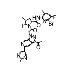 CC(=O)c1nn(CC(=O)N2[C@H](I)[C@@H](C)C[C@H]2C(=O)Nc2nc(Br)c(F)cc2C)c2cnc(-c3cnc(C)nc3)cc12